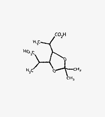 CC(C(=O)O)C1OC(C)(C)OC1C(C)C(=O)O